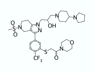 CS(=O)(=O)N1CCc2c(c(-c3ccc(C(F)(F)F)c(SCC(=O)N4CCOCC4)c3)nn2CC(O)CN2CCC(N3CCCC3)CC2)C1